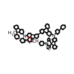 CC1(C)c2ccc(-c3ccc4c5ccccc5c5cc(N(c6ccc(-c7ccccc7)cc6)c6ccc7c(c6)C6(c8ccccc8-7)c7ccccc7N(c7ccccc7)c7ccccc76)ccc5c4c3)cc2-c2ccc(N(c3ccc4c(c3)C(C)(c3ccccc3)c3ccccc3-4)c3ccccc3-c3ccccc3)cc21